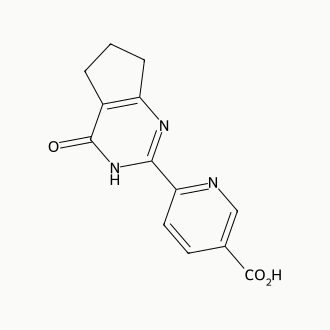 O=C(O)c1ccc(-c2nc3c(c(=O)[nH]2)CCC3)nc1